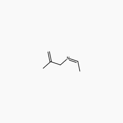 C=C(C)C/N=C\C